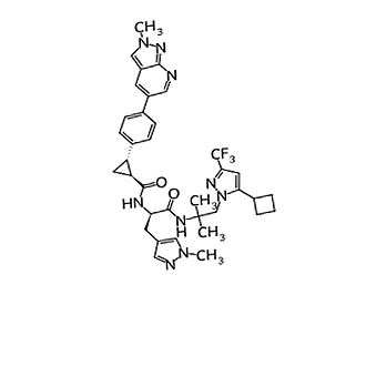 Cn1cc(C[C@@H](NC(=O)[C@H]2C[C@@H]2c2ccc(-c3cnc4nn(C)cc4c3)cc2)C(=O)NC(C)(C)Cn2nc(C(F)(F)F)cc2C2CCC2)cn1